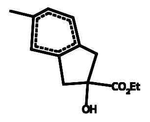 CCOC(=O)C1(O)Cc2ccc(C)cc2C1